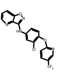 FC(F)(F)c1ccc(Oc2ccc(Nc3noc4cccnc34)cc2Cl)nc1